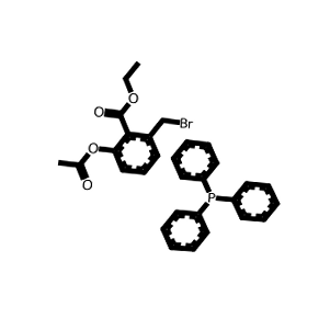 CCOC(=O)c1c(CBr)cccc1OC(C)=O.c1ccc(P(c2ccccc2)c2ccccc2)cc1